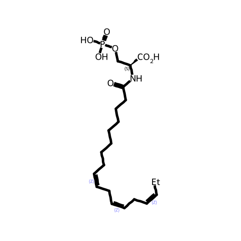 CC/C=C\C/C=C\C/C=C\CCCCCCCC(=O)N[C@@H](COP(=O)(O)O)C(=O)O